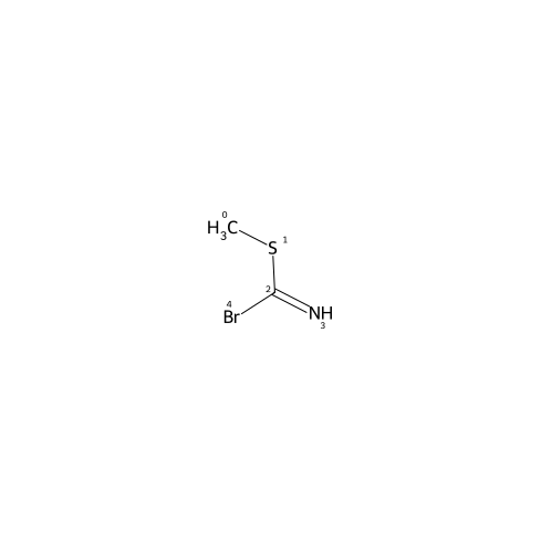 CSC(=N)Br